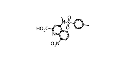 Cc1ccc(S(=O)(=O)N(C)c2cc(C(=O)O)nc3c([N+](=O)[O-])cccc23)cc1